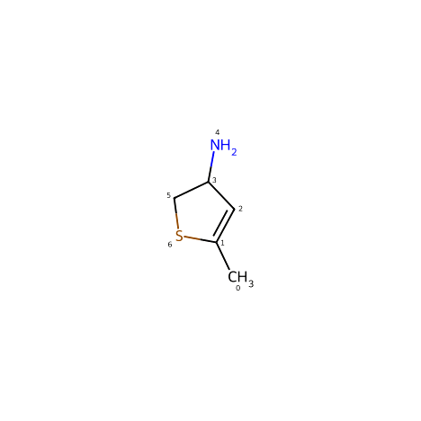 CC1=CC(N)CS1